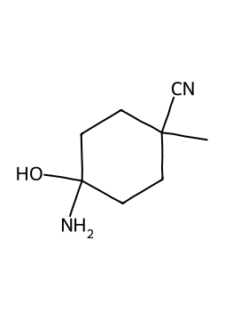 CC1(C#N)CCC(N)(O)CC1